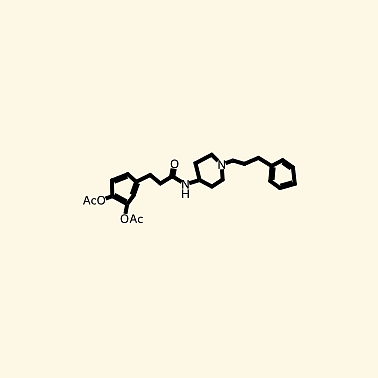 CC(=O)Oc1ccc(CCC(=O)NC2CCN(CCCc3ccccc3)CC2)cc1OC(C)=O